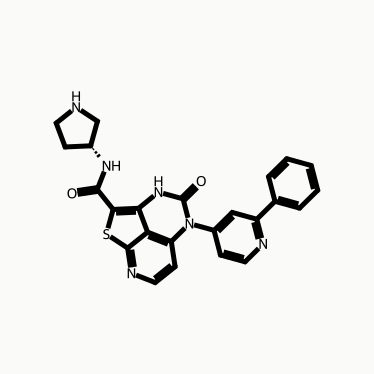 O=C(N[C@@H]1CCNC1)c1sc2nccc3c2c1NC(=O)N3c1ccnc(-c2ccccc2)c1